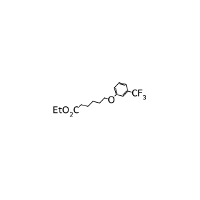 CCOC(=O)CCCCCOc1cccc(C(F)(F)F)c1